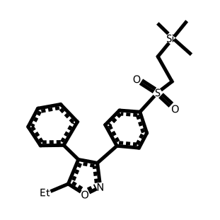 CCc1onc(-c2ccc(S(=O)(=O)CC[Si](C)(C)C)cc2)c1-c1ccccc1